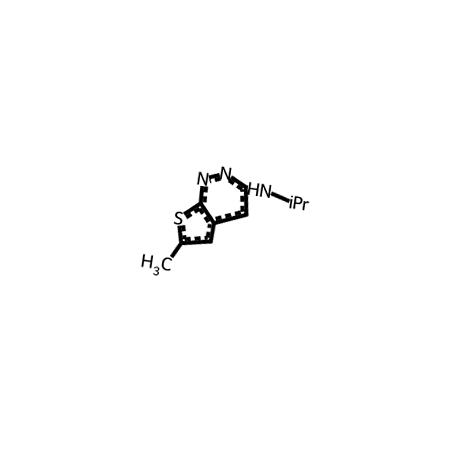 Cc1cc2cc(NC(C)C)nnc2s1